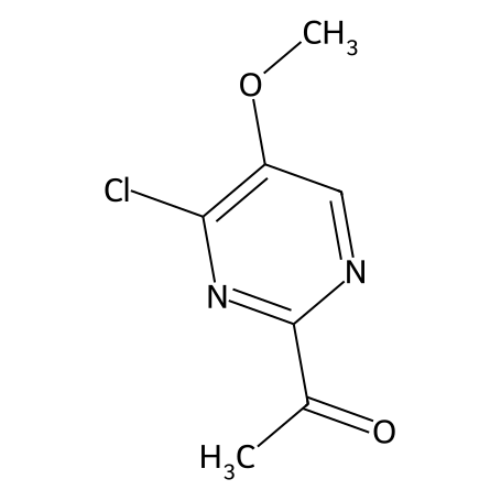 COc1cnc(C(C)=O)nc1Cl